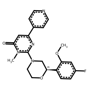 COc1cc(F)ccc1[C@@H]1CN(c2nc(-c3ccncc3)cc(=O)n2C)CCO1